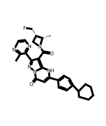 Cc1nccnc1-c1nn2c(=O)cc(-c3ccc(C4CCCCC4)cc3)[nH]c2c1C(=O)N1C[C@H](CF)[C@@H]1C